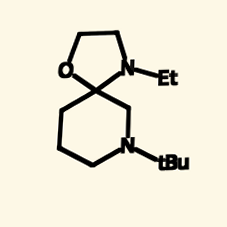 CCN1CCOC12CCCN(C(C)(C)C)C2